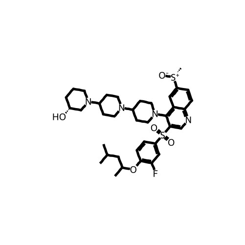 CC(C)CC(C)Oc1ccc(S(=O)(=O)c2cnc3ccc([S@@+](C)[O-])cc3c2N2CCC(N3CCC(N4CCC[C@@H](O)C4)CC3)CC2)cc1F